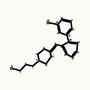 ClCCCN1CCC(=Cc2ccccc2-c2cccc(Cl)c2)CC1